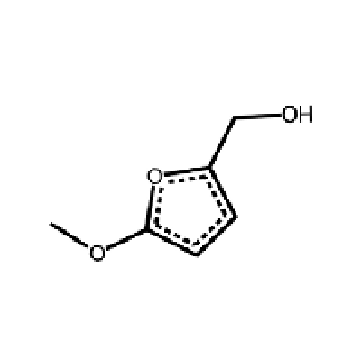 COc1ccc(CO)o1